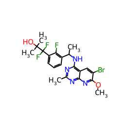 COc1nc2nc(C)nc(NC(C)c3cccc(C(F)(F)C(C)(C)O)c3F)c2cc1Br